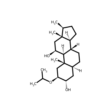 CC(C)O[C@H]1C[C@@]2(C)[C@@H](CC[C@@H]3[C@@H]2[C@@H](O)C[C@]2(C)[C@@H](C)CC[C@@H]32)C[C@@H]1O